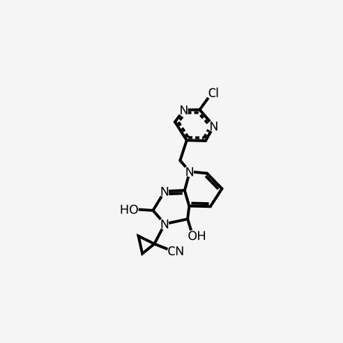 N#CC1(N2C(O)N=C3C(=CC=CN3Cc3cnc(Cl)nc3)C2O)CC1